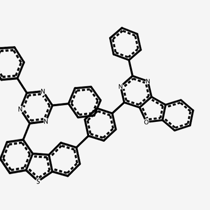 c1ccc(-c2nc(-c3ccccc3)nc(-c3cccc4sc5ccc(-c6ccc(-c7nc(-c8ccccc8)nc8c7oc7ccccc78)cc6)cc5c34)n2)cc1